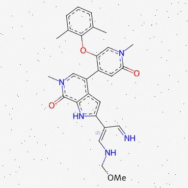 COCN/C=C(\C=N)c1cc2c(-c3cc(=O)n(C)cc3Oc3c(C)cccc3C)cn(C)c(=O)c2[nH]1